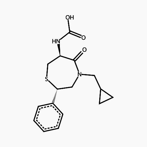 O=C(O)N[C@@H]1CS[C@@H](c2ccccc2)CN(CC2CC2)C1=O